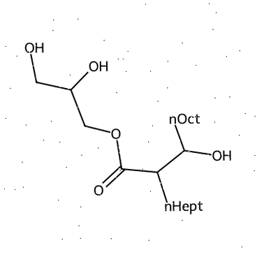 CCCCCCCCC(O)C(CCCCCCC)C(=O)OCC(O)CO